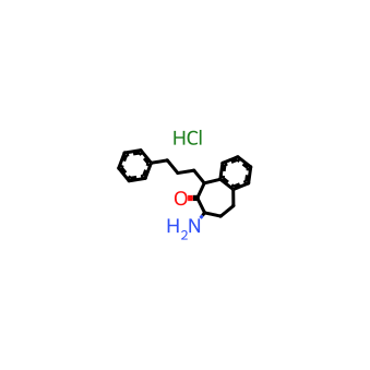 Cl.NC1CCc2ccccc2C(CCCc2ccccc2)C1=O